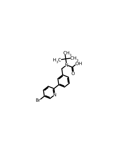 CC(C)(C)N(Cc1cccc(-c2ccc(Br)cn2)c1)C(=O)O